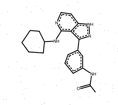 CC(=O)Nc1cccc(-c2n[nH]c3ccnc(NC4CCCCC4)c23)c1